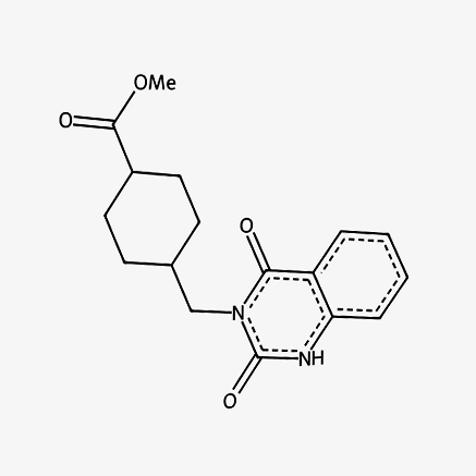 COC(=O)C1CCC(Cn2c(=O)[nH]c3ccccc3c2=O)CC1